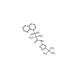 CC(C)(C)c1cc(NC(=O)C(C)(C)S(=O)(=O)c2cccc3cccnc23)no1